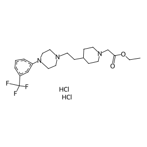 CCOC(=O)CN1CCC(CCN2CCN(c3cccc(C(F)(F)F)c3)CC2)CC1.Cl.Cl